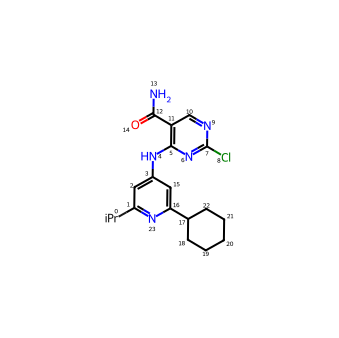 CC(C)c1cc(Nc2nc(Cl)ncc2C(N)=O)cc(C2CCCCC2)n1